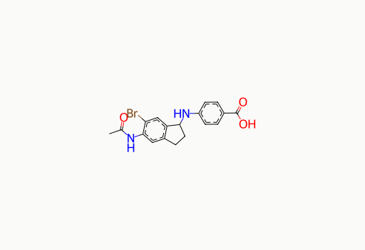 CC(=O)Nc1cc2c(cc1Br)C(Nc1ccc(C(=O)O)cc1)CC2